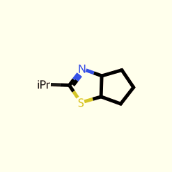 CC(C)C1=NC2CCCC2S1